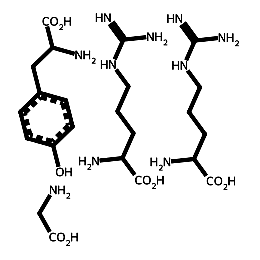 N=C(N)NCCCC(N)C(=O)O.N=C(N)NCCCC(N)C(=O)O.NC(Cc1ccc(O)cc1)C(=O)O.NCC(=O)O